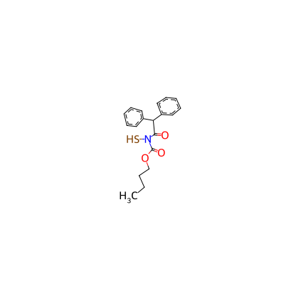 CCCCOC(=O)N(S)C(=O)C(c1ccccc1)c1ccccc1